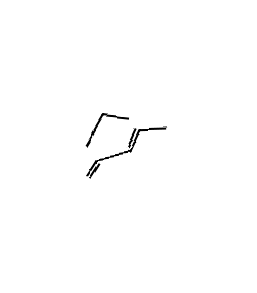 C=CC=CC.CCC